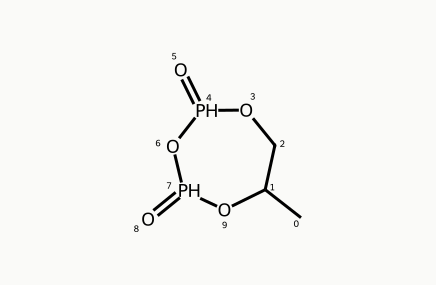 CC1CO[PH](=O)O[PH](=O)O1